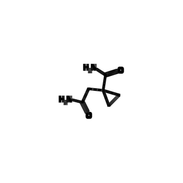 NC(=O)CC1(C(N)=O)CC1